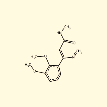 C=N/C(=C\C(=O)NC)c1cccc(OC)c1OC